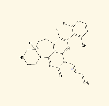 C=C/C=C/n1c(=O)nc2c3c(c(Cl)c(-c4c(O)cccc4F)nc31)OC[C@@H]1CNCCN21